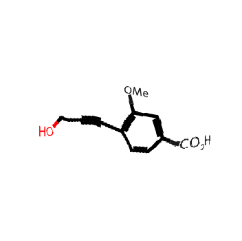 COc1cc(C(=O)O)ccc1C#CCO